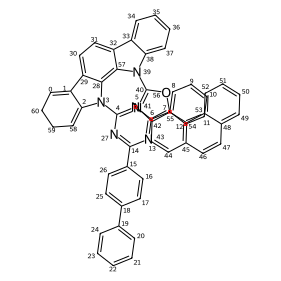 C1=c2c(n(-c3nc(-c4ccccc4)nc(-c4ccc(-c5ccccc5)cc4)n3)c3c2ccc2c4ccccc4n(-c4nc5ccc6ccc7ccccc7c6c5o4)c23)=CCC1